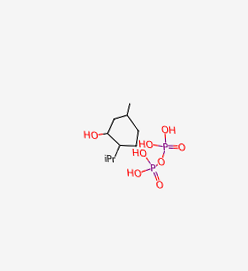 CC1CCC(C(C)C)C(O)C1.O=P(O)(O)OP(=O)(O)O